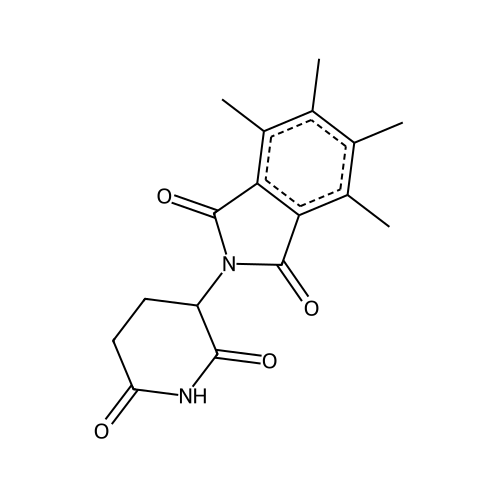 Cc1c(C)c(C)c2c(c1C)C(=O)N(C1CCC(=O)NC1=O)C2=O